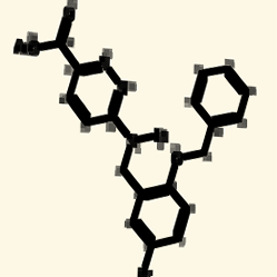 CCN(Cc1cc(Br)ccc1OCc1ccccc1)c1ccc(C(=O)OC(C)=O)nn1